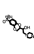 CCCC[S+]([O-])c1ccc2c(c1)OCC(C(O)CN1CCNCC1)O2